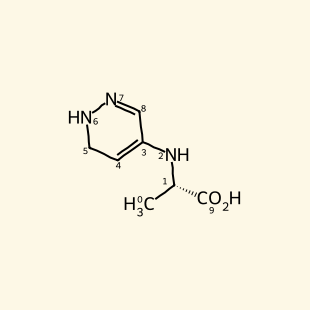 C[C@H](NC1=CCNN=C1)C(=O)O